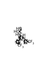 OCC(O)CNc1nc(Nc2ccnc(C(F)(F)F)c2)nc(-c2cccc(C(F)(F)F)n2)n1